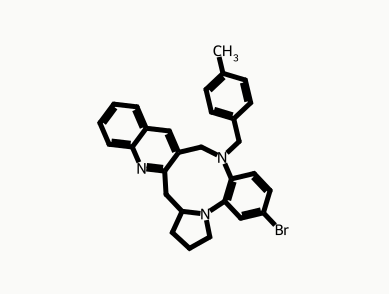 Cc1ccc(CN2Cc3cc4ccccc4nc3CC3CCCN3c3cc(Br)ccc32)cc1